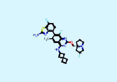 Nc1nc2c(-c3c(C(F)(F)F)cc4c(NC5CC6(CCC6)C5)nc(OC[C@@]56CCCN5C[C@H](F)C6)nc4c3F)ccc(F)c2s1